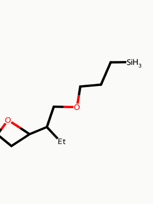 CCC(COCCC[SiH3])C1CCO1